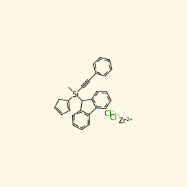 C[Si](C#Cc1ccccc1)(C1=CC=CC1)C1c2ccccc2-c2ccccc21.[Cl-].[Cl-].[Zr+2]